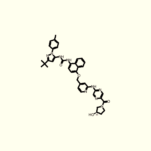 Cc1ccc(-n2nc(C(C)(C)C)cc2NC(=O)Nc2ccc(OCc3ccnc(Nc4cnc(C(=O)N5CC[C@@H](O)C5)cn4)c3)c3ccccc23)cc1